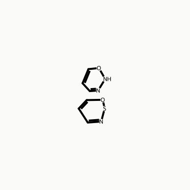 C1=CONN=C1.C1=COSN=C1